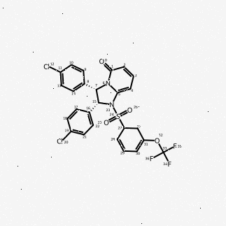 O=c1cccc2n1[C@@H](c1ccc(Cl)cc1)[C@@H](c1ccc(Cl)cc1)N2S(=O)(=O)C1C=CC=C(OC(F)(F)F)C1